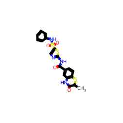 CC1Sc2ccc(C(=O)Nc3ncc(S(=O)(=O)Nc4ccccc4)s3)cc2NC1=O